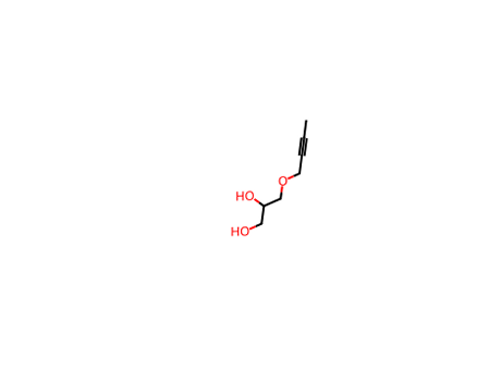 CC#CCOCC(O)CO